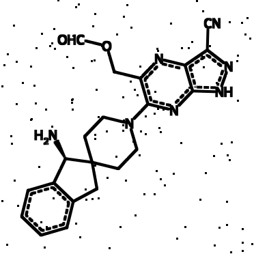 N#Cc1n[nH]c2nc(N3CCC4(CC3)Cc3ccccc3[C@H]4N)c(COC=O)nc12